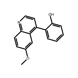 COc1ccc2nccc(-c3ccccc3O)c2c1